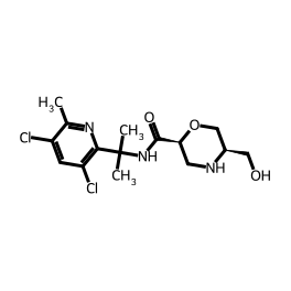 Cc1nc(C(C)(C)NC(=O)[C@@H]2CN[C@H](CO)CO2)c(Cl)cc1Cl